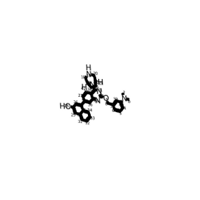 CN(C)c1cccc(COc2nc(N3[C@@H]4CC[C@H]3CNC4)c3ccc(-c4cc(O)cc5ccccc45)cc3n2)c1